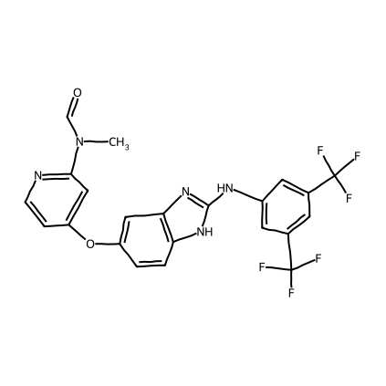 CN(C=O)c1cc(Oc2ccc3[nH]c(Nc4cc(C(F)(F)F)cc(C(F)(F)F)c4)nc3c2)ccn1